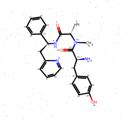 CCC[C@@H](C(=O)N[C@@H](Cc1ccccn1)c1ccccc1)N(C)C(=O)[C@@H](N)Cc1ccc(O)cc1